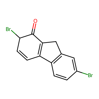 O=C1C2=C(C=CC1Br)c1ccc(Br)cc1C2